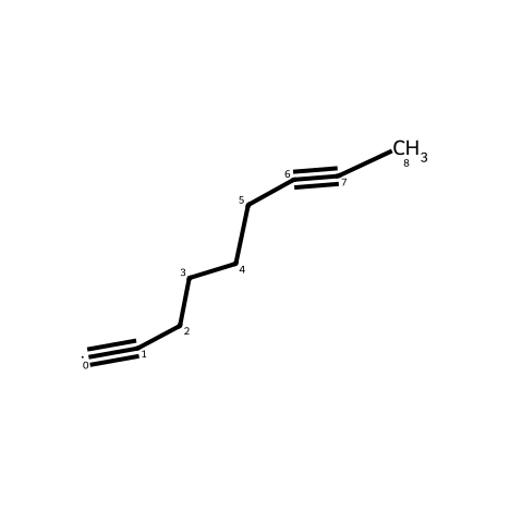 [C]#CCCCCC#CC